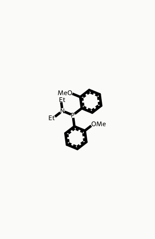 CCN(CC)P(c1ccccc1OC)c1ccccc1OC